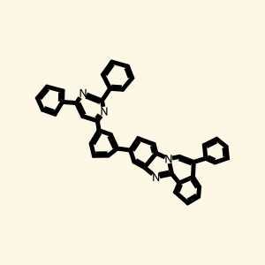 c1ccc(-c2cc(-c3cccc(-c4ccc5c(c4)nc4c6ccccc6c(-c6ccccc6)cn54)c3)nc(-c3ccccc3)n2)cc1